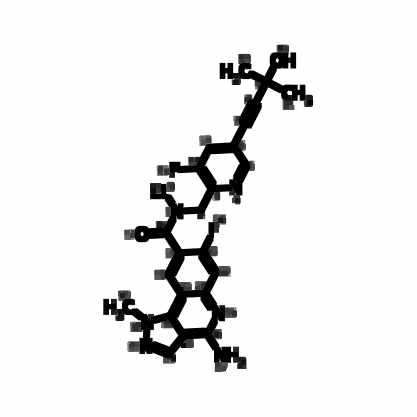 CCN(Cc1ncc(C#CC(C)(C)O)cc1F)C(=O)c1cc2c(cc1F)nc(N)c1cnn(C)c12